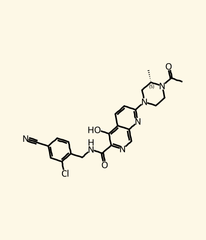 CC(=O)N1CCN(c2ccc3c(O)c(C(=O)NCc4ccc(C#N)cc4Cl)ncc3n2)C[C@@H]1C